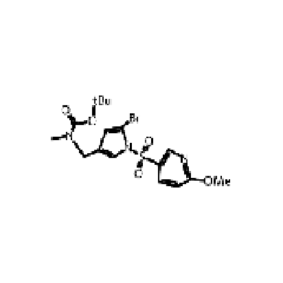 COc1ccc(S(=O)(=O)n2cc(CN(C)C(=O)OC(C)(C)C)cc2Br)cn1